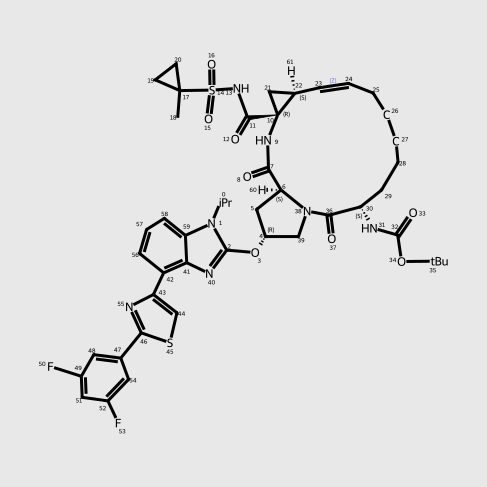 CC(C)n1c(O[C@@H]2C[C@H]3C(=O)N[C@]4(C(=O)NS(=O)(=O)C5(C)CC5)C[C@H]4/C=C\CCCCC[C@H](NC(=O)OC(C)(C)C)C(=O)N3C2)nc2c(-c3csc(-c4cc(F)cc(F)c4)n3)cccc21